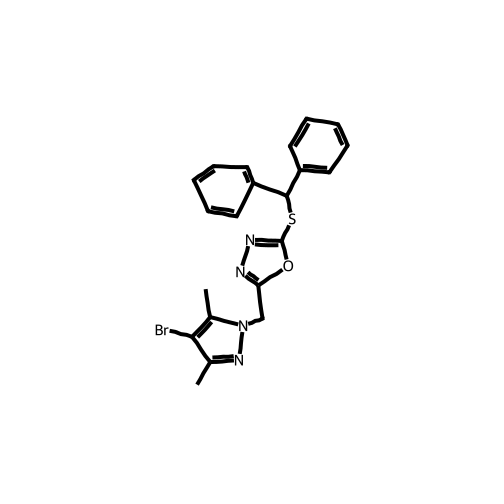 Cc1nn(Cc2nnc(SC(c3ccccc3)c3ccccc3)o2)c(C)c1Br